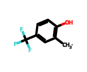 [CH2]c1cc(C(F)(F)F)ccc1O